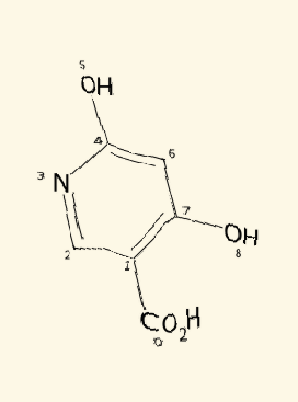 O=C(O)c1cnc(O)cc1O